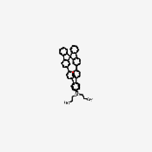 OCCOc1ccc(-c2ccc(-c3ccc4c(c3)C3(c5ccccc5-4)c4ccccc4-c4ccc(-c5ccc(-c6ccc(OCCO)cc6)cc5)cc43)cc2)cc1